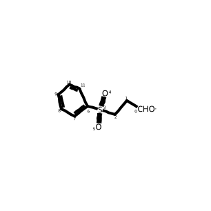 O=[C]CCS(=O)(=O)c1ccccc1